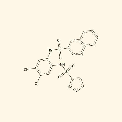 O=S(=O)(Nc1cc(Cl)c(Cl)cc1NS(=O)(=O)c1cccs1)c1cnc2ccccc2c1